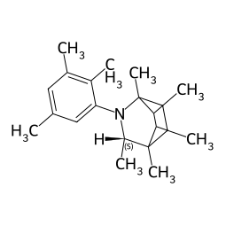 Cc1cc(C)c(C)c(N2[C@@H](C)C3(C)CCC2(C)C(C)C3C)c1